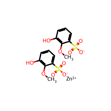 COc1c(O)cccc1S(=O)(=O)[O-].COc1c(O)cccc1S(=O)(=O)[O-].[Zn+2]